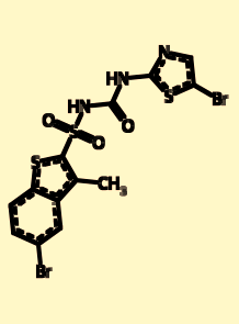 Cc1c(S(=O)(=O)NC(=O)Nc2ncc(Br)s2)sc2ccc(Br)cc12